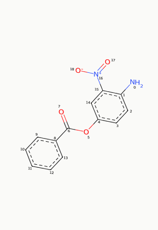 Nc1ccc(OC(=O)c2ccccc2)cc1[N+](=O)[O-]